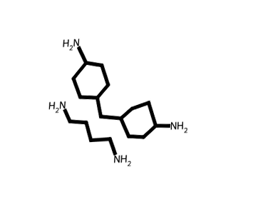 NC1CCC(CC2CCC(N)CC2)CC1.NCCCCN